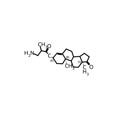 CC(CN)C(=O)C[C@@H]1C=C2CCC3C(CC[C@]4(C)C(=O)CCC34)[C@@]2(C)CC1